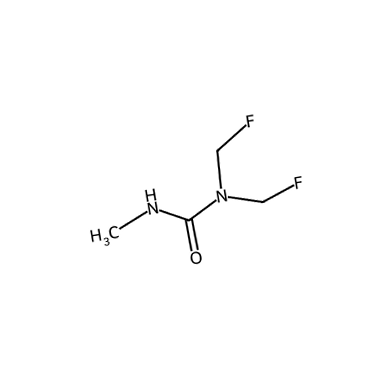 CNC(=O)N(CF)CF